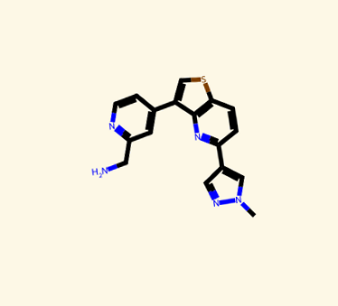 Cn1cc(-c2ccc3scc(-c4ccnc(CN)c4)c3n2)cn1